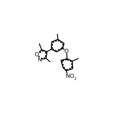 Cc1cc(Oc2ccc([N+](=O)[O-])cc2C)cc(-c2c(C)noc2C)c1